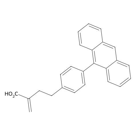 C=C(CCc1ccc(-c2c3ccccc3cc3ccccc23)cc1)C(=O)O